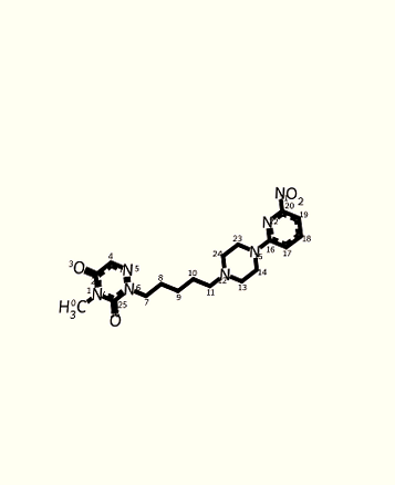 Cn1c(=O)cnn(CCCCCN2CCN(c3cccc([N+](=O)[O-])n3)CC2)c1=O